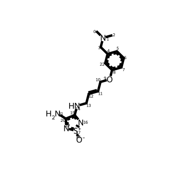 CN(C)Cc1cccc(OCC=CCNc2n[s+]([O-])nc2N)c1